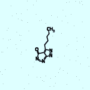 CCCCCC1=C2C(=O)N=CN=C2N=N1